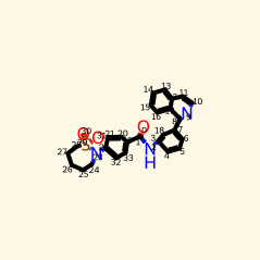 O=C(Nc1cccc(-c2nccc3ccccc23)c1)c1ccc(N2CCCCCS2(=O)=O)cc1